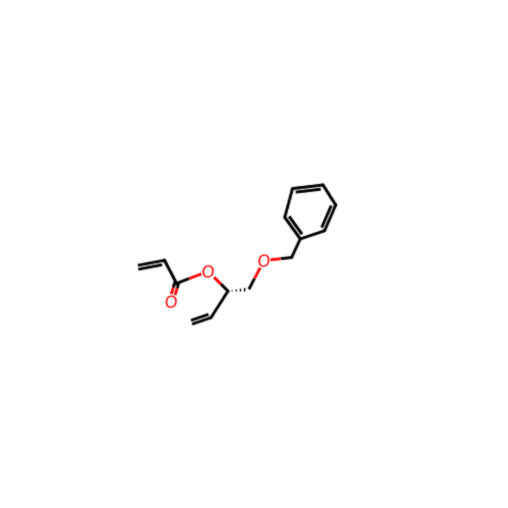 C=CC(=O)O[C@@H](C=C)COCc1ccccc1